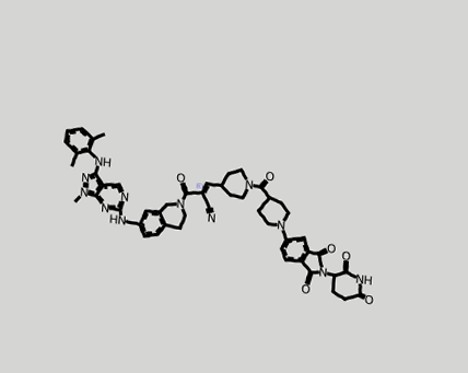 Cc1cccc(C)c1Nc1nn(C)c2nc(Nc3ccc4c(c3)CN(C(=O)/C(C#N)=C/C3CCN(C(=O)C5CCN(c6ccc7c(c6)C(=O)N(C6CCC(=O)NC6=O)C7=O)CC5)CC3)CC4)ncc12